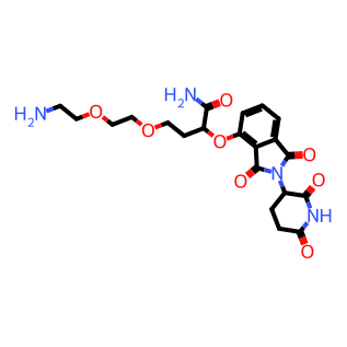 NCCOCCOCCC(Oc1cccc2c1C(=O)N(C1CCC(=O)NC1=O)C2=O)C(N)=O